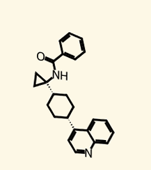 O=C(NC1([C@H]2CC[C@@H](c3ccnc4ccccc43)CC2)CC1)c1ccccc1